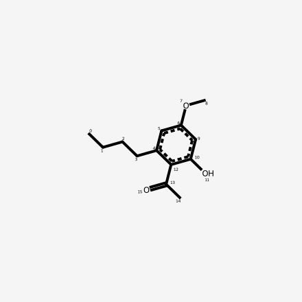 CCCCc1cc(OC)cc(O)c1C(C)=O